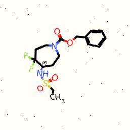 CCS(=O)(=O)N[C@@H]1CCN(C(=O)OCc2ccccc2)CCC1(F)F